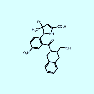 CCC1(C)C=C(C(=O)O)NN1c1ccc([N+](=O)[O-])cc1C(=O)N1Cc2ccccc2CC1CO